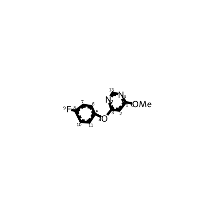 COc1cc(Oc2ccc(F)cc2)ncn1